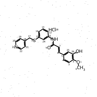 COc1ccc(/C=C/C(=O)Nc2cccc(SCc3ccncc3)c2)cc1O.Cl